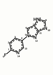 Fc1ccc(-n2cc3[nH][c]nc3n2)cn1